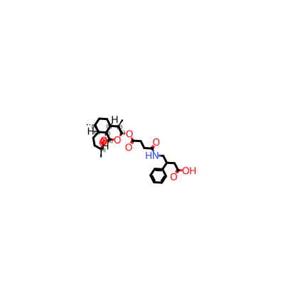 C[C@H]1[C@H](OC(=O)CCC(=O)NCC(CC(=O)O)c2ccccc2)O[C@@H]2O[C@@]3(C)CC[C@H]4[C@H](C)CC[C@@H]1[C@@]24OO3